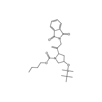 C=C(CN1C(=O)c2ccccc2C1=O)C1CC(O[Si](C)(C)C(C)(C)C)CN1C(=O)OCCCC